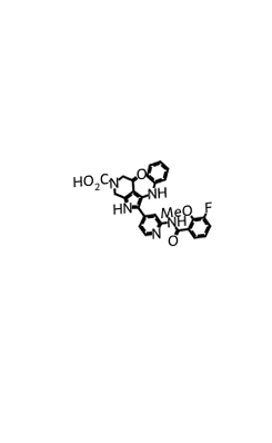 COc1c(F)cccc1C(=O)Nc1cc(-c2[nH]c3c(c2Nc2ccccc2)C(=O)CN(C(=O)O)C3)ccn1